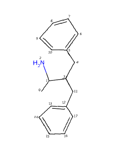 CC(N)C(Cc1ccccc1)Cc1ccccc1